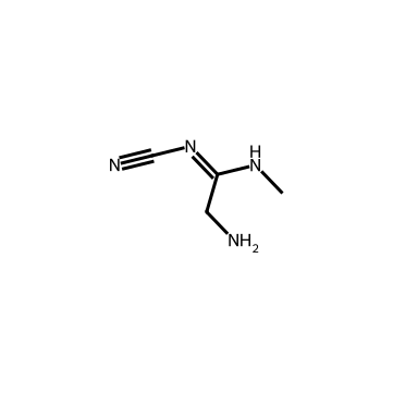 CN/C(CN)=N/C#N